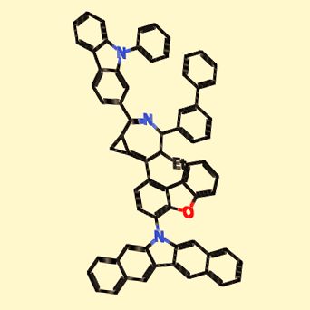 CCC1C(c2ccc(-n3c4cc5ccccc5cc4c4cc5ccccc5cc43)c3oc4ccccc4c23)=C2CC2C(c2ccc3c4ccccc4n(-c4ccccc4)c3c2)=NC1c1cccc(-c2ccccc2)c1